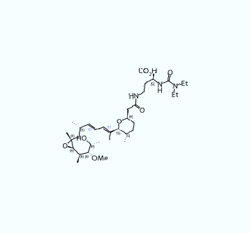 CCN(CC)C(=O)N[C@@H](CCNC(=O)C[C@H]1CC[C@H](C)[C@@H](/C(C)=C/C=C/[C@@H](C)C[C@@]2(C)O[C@@H]2[C@H](C)[C@@H](OC)[C@@H](C)O)O1)C(=O)O